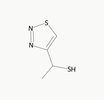 CC(S)c1csnn1